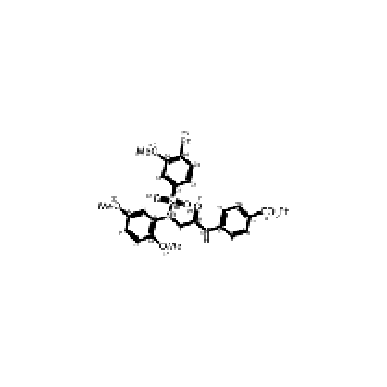 CCOC(=O)c1ccc(NC(=O)CN(c2cc(OC)ccc2OC)S(=O)(=O)c2ccc(CC)c(OC)c2)cc1